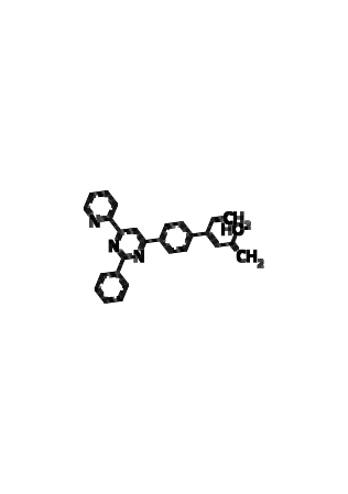 C=C/C(=C\C(=C)O)c1ccc(-c2cc(-c3ccccn3)nc(-c3ccccc3)n2)cc1